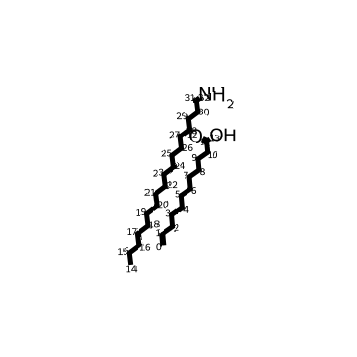 CCCCCCCCCCCC(=O)O.CCCCCCCCCCCCCCCCCCN